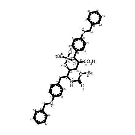 CC(C)(C)OC(=O)NC(Cc1ccc(OCc2ccccc2)cc1)C(CC(Cc1ccc(OCc2ccccc2)cc1)C(=O)O)O[Si](C)(C)C(C)(C)C